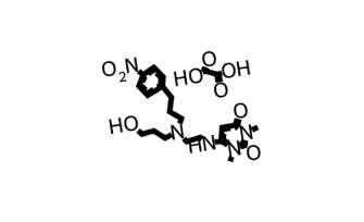 Cn1c(NCCN(CCCO)CCCc2ccc([N+](=O)[O-])cc2)cc(=O)n(C)c1=O.O=C(O)C(=O)O